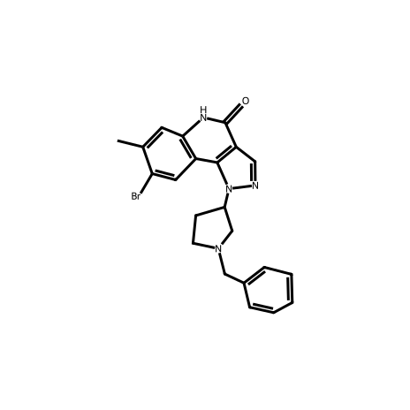 Cc1cc2[nH]c(=O)c3cnn(C4CCN(Cc5ccccc5)C4)c3c2cc1Br